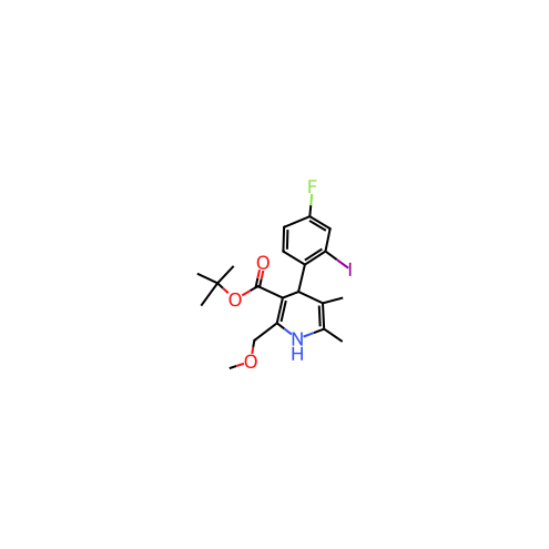 COCC1=C(C(=O)OC(C)(C)C)C(c2ccc(F)cc2I)C(C)=C(C)N1